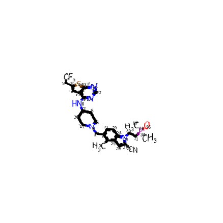 Cc1c(CN2CCC(Nc3ncnc4sc(CC(F)(F)F)cc34)CC2)ccc2c1cc(C#N)n2CCP(C)(C)=O